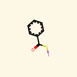 O=C(SI)c1ccccc1